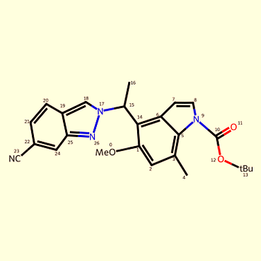 COc1cc(C)c2c(ccn2C(=O)OC(C)(C)C)c1C(C)n1cc2ccc(C#N)cc2n1